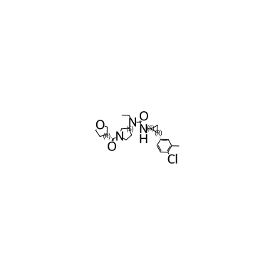 CCN(C(=O)N[C@H]1C[C@@H]1c1ccc(Cl)c(C)c1)[C@H]1CCN(C(=O)[C@@H]2CCOC2)C1